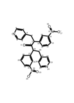 O=C(C(Cc1ccncc1)c1cccc([N+](=O)[O-])c1)C(Cc1ccncc1)c1cccc([N+](=O)[O-])c1